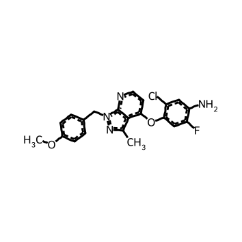 COc1ccc(Cn2nc(C)c3c(Oc4cc(F)c(N)cc4Cl)ccnc32)cc1